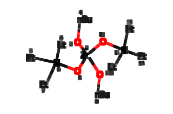 CCCC[O][Zr]([O]CCCC)([O][Si](CC)(CC)CC)[O][Si](CC)(CC)CC